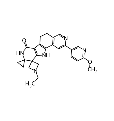 CCN1CC2(C1)c1[nH]c3c(c1C(=O)NC21CC1)CCc1cnc(-c2ccc(OC)nc2)cc1-3